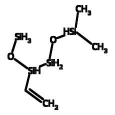 C=C[SiH](O[SiH3])[SiH2]O[SiH](C)C